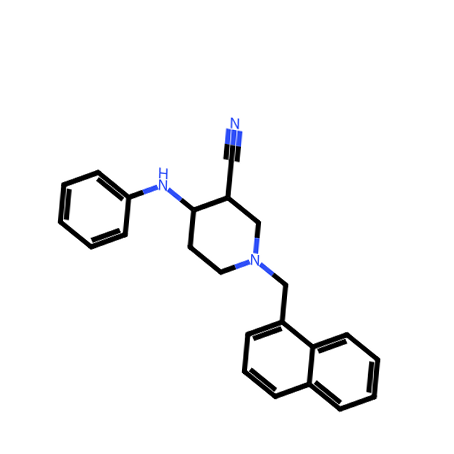 N#CC1CN(Cc2cccc3ccccc23)CCC1Nc1ccccc1